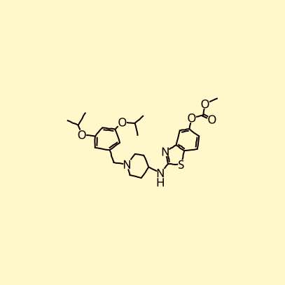 COC(=O)Oc1ccc2sc(NC3CCN(Cc4cc(OC(C)C)cc(OC(C)C)c4)CC3)nc2c1